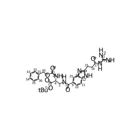 CC(C)(C)OC(=O)C(CNC(=O)c1ccc2[nH]c(CCC(=O)NC(=N)N)nc2c1)NC(=O)OCc1ccccc1